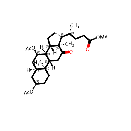 COC(=O)CC[C@@H](C)[C@H]1CC[C@H]2[C@@H]3[C@H](OC(C)=O)C[C@@H]4C[C@H](OC(C)=O)CC[C@]4(C)[C@H]3CC(=O)[C@]12C